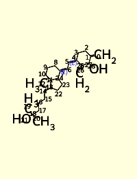 C=C1CC/C(=C/C=C2\CCCC3(C)C(CCCCC(C)(C)O)CCC23)C(=C)C1O